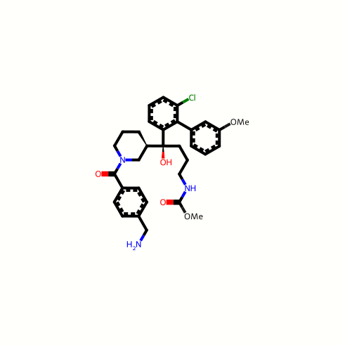 COC(=O)NCCC[C@@](O)(c1cccc(Cl)c1-c1cccc(OC)c1)[C@@H]1CCCN(C(=O)c2ccc(CN)cc2)C1